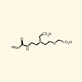 CCCCCCCCCC(=O)NCCN(CCOCC(=O)O)CC(=O)O